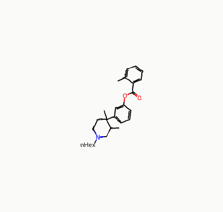 CCCCCCN1CCC(C)(c2cccc(OC(=O)c3ccccc3C)c2)C(C)C1